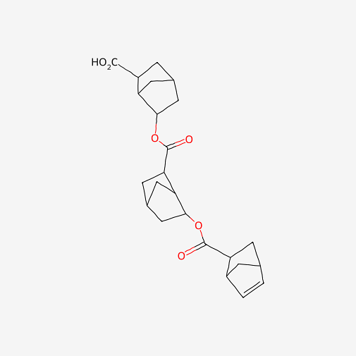 O=C(OC1CC2CC(C(=O)OC3CC4CC(C(=O)O)C3C4)C1C2)C1CC2C=CC1C2